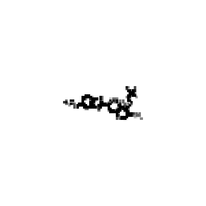 COc1ccc2[nH]c(C(O)Cc3ncc(C)c(OCC(F)(F)F)c3C)nc2c1